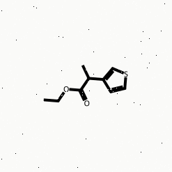 CCOC(=O)C(C)c1ccsc1